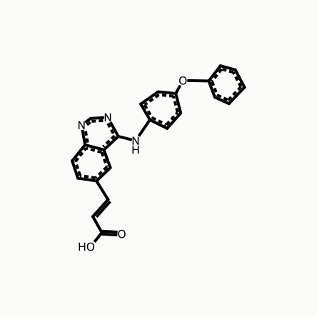 O=C(O)C=Cc1ccc2ncnc(Nc3ccc(Oc4ccccc4)cc3)c2c1